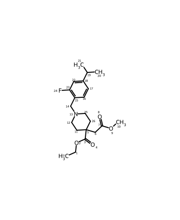 CCOC(=O)C1(CC(=O)OC)CCN(Cc2ccc(C(C)C)cc2F)CC1